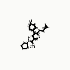 O=C(N[C@@H]1CCCC[C@H]1O)c1cnc(CCC2CC2)c(-c2ccc(Cl)cc2)c1